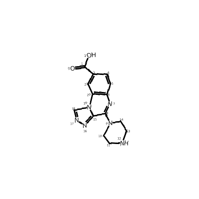 O=C(O)c1ccc2nc(N3CCNCC3)c3nncn3c2c1